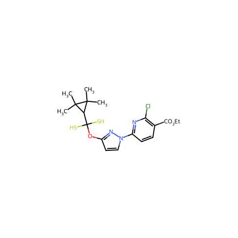 CCOC(=O)c1ccc(-n2ccc(OC(S)(S)C3C(C)(C)C3(C)C)n2)nc1Cl